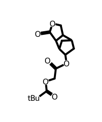 CC(C)(C)C(=O)OCC(=O)OC1CC2CC1C1C(=O)OCC21